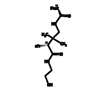 CCC[C@H](C)C(=O)NCC(C)(C)[C@@H](CCC)C(=O)NCCO